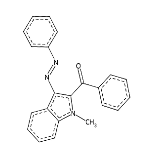 Cn1c(C(=O)c2ccccc2)c(/N=N/c2ccccc2)c2ccccc21